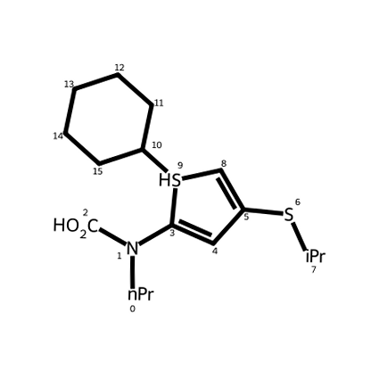 CCCN(C(=O)O)C1=CC(SC(C)C)=C[SH]1C1CCCCC1